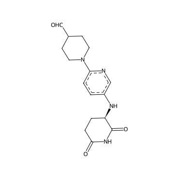 O=CC1CCN(c2ccc(N[C@@H]3CCC(=O)NC3=O)cn2)CC1